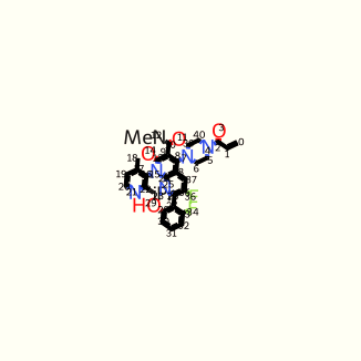 C=CC(=O)N1CCN(c2c(C(=O)NC)c(=O)n(-c3c(C)ccnc3C(C)C)c3nc(-c4c(O)cccc4F)c(F)cc23)CC1